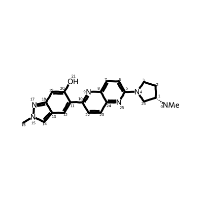 CN[C@H]1CCN(c2ccc3nc(-c4cc5cn(C)nc5cc4O)ccc3n2)C1